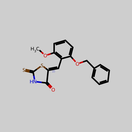 COc1cccc(OCc2ccccc2)c1/C=C1\SC(=S)NC1=O